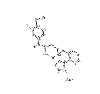 CC(=O)NCc1ccc2n1-c1ccccc1OC21CCN(C(=O)c2ccc(OC(C)C)c(C)c2)CC1